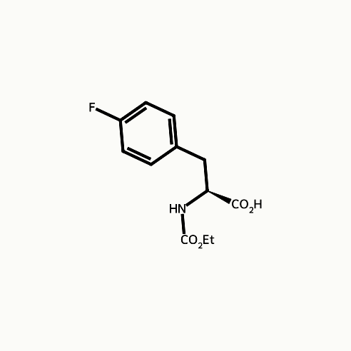 CCOC(=O)N[C@@H](Cc1ccc(F)cc1)C(=O)O